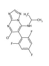 CC(C)Nc1c(-c2c(F)cc(F)cc2F)c(Cl)nc2ncnn12